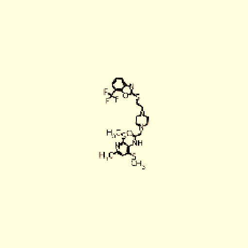 CSc1cc(C)nc(SC)c1NC(=O)CN1CCN(CCSc2nc3cccc(C(F)(F)F)c3o2)CC1